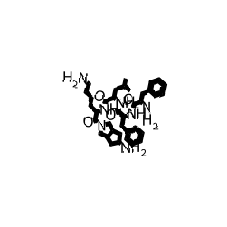 CC(C)CC(NC(=O)C(Cc1ccccc1)NC(=O)C(N)Cc1ccccc1)C(=O)NC(CCCCN)C(=O)N1CC2CC(N)CC2C1